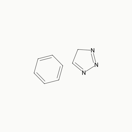 C1=NN=NC1.c1ccccc1